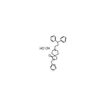 Cl.Cl.O=C1N(Cc2ccccn2)CCC12CCN(CCC(c1ccccc1)c1ccccc1)CC2